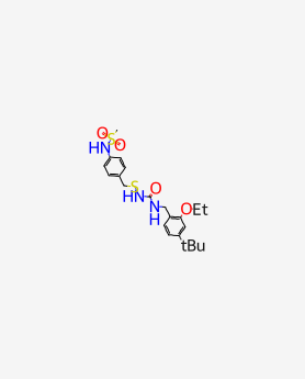 CCOc1cc(C(C)(C)C)ccc1CNC(=O)NSCc1ccc(NS(C)(=O)=O)cc1